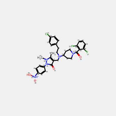 Cc1c(CN(CCc2ccc(Cl)cc2)C2CCN(C(=O)c3c(F)cccc3F)CC2)c(=O)n(-c2ccc([NH+]([O-])O)cc2)n1C